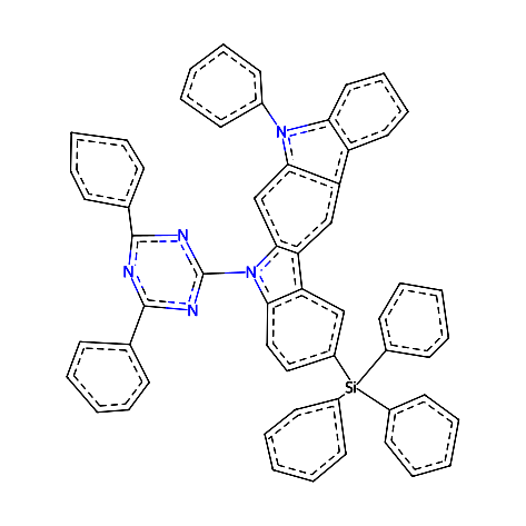 c1ccc(-c2nc(-c3ccccc3)nc(-n3c4ccc([Si](c5ccccc5)(c5ccccc5)c5ccccc5)cc4c4cc5c6ccccc6n(-c6ccccc6)c5cc43)n2)cc1